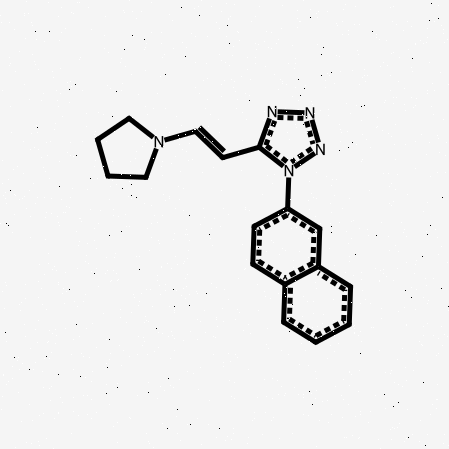 C(=CN1CCCC1)c1nnnn1-c1ccc2ccccc2c1